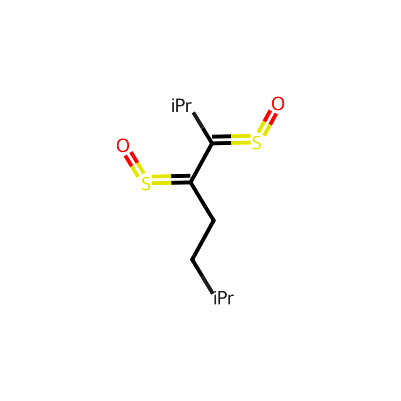 CC(C)CCC(=S=O)C(=S=O)C(C)C